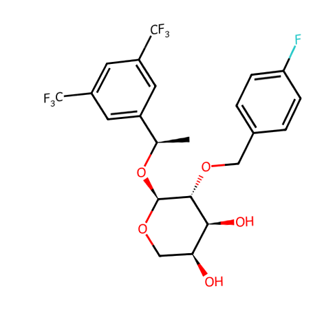 C[C@@H](O[C@@H]1OC[C@H](O)[C@H](O)[C@H]1OCc1ccc(F)cc1)c1cc(C(F)(F)F)cc(C(F)(F)F)c1